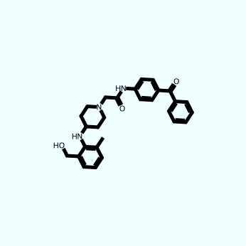 Cc1cccc(CO)c1NC1CCN(CC(=O)Nc2ccc(C(=O)c3ccccc3)cc2)CC1